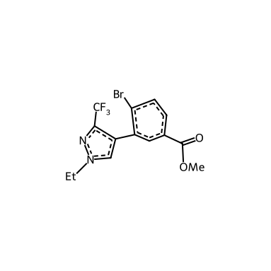 CCn1cc(-c2cc(C(=O)OC)ccc2Br)c(C(F)(F)F)n1